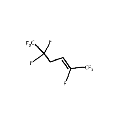 FC(=CCC(F)(F)C(F)(F)F)C(F)(F)F